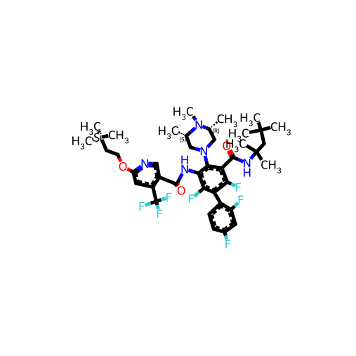 C[C@@H]1CN(c2c(NC(=O)c3cnc(OCC[Si](C)(C)C)cc3C(F)(F)F)c(F)c(-c3ccc(F)cc3F)c(F)c2C(=O)NC(C)(C)CC(C)(C)C)C[C@H](C)N1C